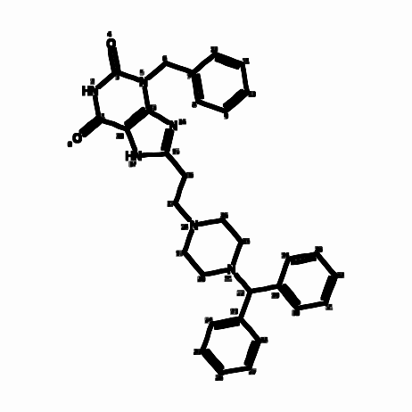 O=c1[nH]c(=O)n(Cc2ccccc2)c2nc(CCN3CCN(C(c4ccccc4)c4ccccc4)CC3)[nH]c12